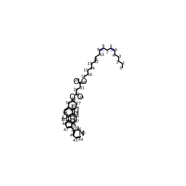 CCCCC/C=C\C/C=C\CCCCCCCCOC(=O)CCC(=O)O[C@H]1CC[C@@]2(C)C(=CC[C@@H]3[C@@H]2CC[C@]2(C)C(c4cccnc4)=CC[C@@H]32)C1